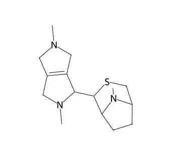 CN1CC2=C(C1)C(C1SCC3CCC1N3C)N(C)C2